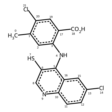 Cc1cc(Nc2c(S)cnc3ccc(Cl)cc23)c(C(=O)O)cc1Cl